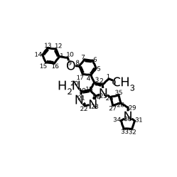 CCc1c(-c2cccc(OCc3ccccc3)c2)c2c(N)ncnc2n1C1CC(CN2CCCC2)C1